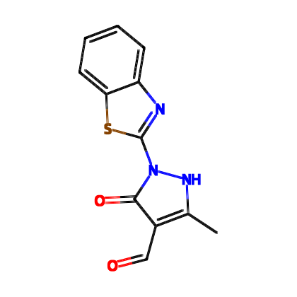 Cc1[nH]n(-c2nc3ccccc3s2)c(=O)c1C=O